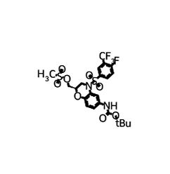 CC(C)(C)OC(=O)Nc1ccc2c(c1)N(S(=O)(=O)c1ccc(F)c(C(F)(F)F)c1)C[C@H](COS(C)(=O)=O)O2